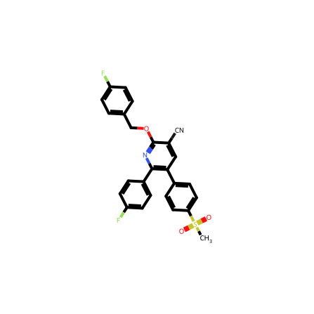 CS(=O)(=O)c1ccc(-c2cc(C#N)c(OCc3ccc(F)cc3)nc2-c2ccc(F)cc2)cc1